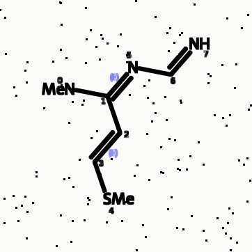 CNC(/C=C/SC)=N/C=N